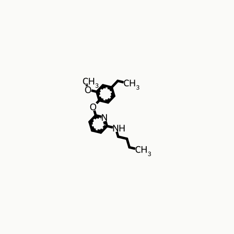 CCCCNc1cccc(Oc2ccc(CC)cc2OC)n1